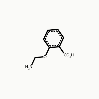 NCOc1ccccc1C(=O)O